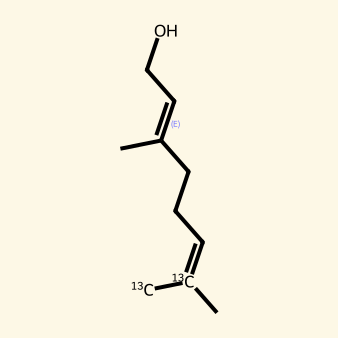 C/C(=C\CO)CCC=[13C](C)[13CH3]